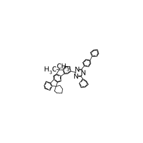 CC1(C)c2ccc(-c3nc(-c4ccccc4)nc(-c4ccc(-c5ccccc5)cc4)n3)cc2-c2cc3c(cc21)-c1ccccc1C31CCCCC1